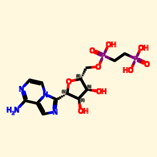 Nc1nccn2c([C@@H]3O[C@H](COP(=O)(O)CCP(=O)(O)O)[C@@H](O)[C@H]3O)ncc12